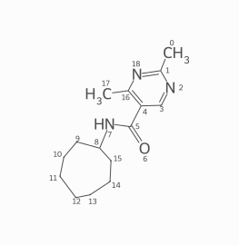 Cc1ncc(C(=O)NC2CCCCCCC2)c(C)n1